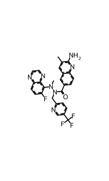 Cc1cc2cc(C(=O)N(Cc3ccc(C(F)(F)F)cn3)N(C)c3c(F)ccc4nccnc34)ccc2nc1N